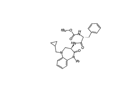 CC(C)N1C(=O)[C@H](NC(=O)[C@@H](Cc2ccccc2)NC(=O)OC(C)(C)C)CN(CC2CC2)c2ccccc21